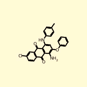 Cc1ccc(Nc2cc(Oc3ccccc3)c(N)c3c2C(=O)c2cc(Cl)ccc2C3=O)cc1